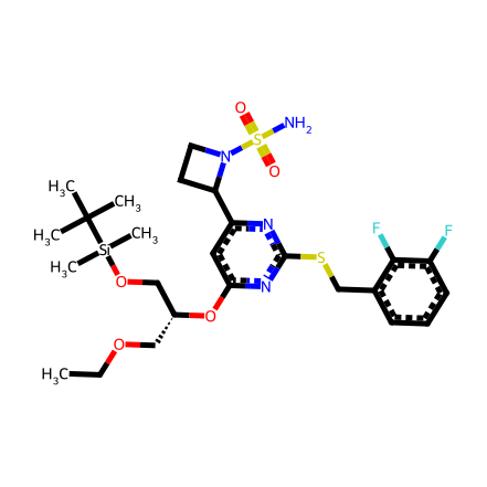 CCOC[C@H](CO[Si](C)(C)C(C)(C)C)Oc1cc(C2CCN2S(N)(=O)=O)nc(SCc2cccc(F)c2F)n1